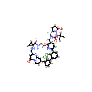 CNC(=O)C1(NCc2cc(=O)n3ccc(-c4cccc(-c5cccc(-c6ccc(CN(C[C@@H]7CCC(=O)N7)C(=O)OC(C)(C)C)c(OC)n6)c5Cl)c4Cl)cc3n2)CC1